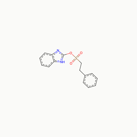 O=S(=O)(CCc1ccccc1)Oc1nc2ccccc2[nH]1